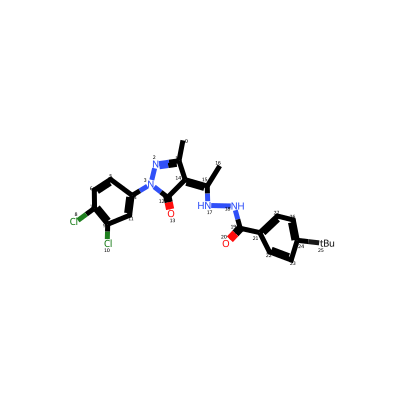 CC1=NN(c2ccc(Cl)c(Cl)c2)C(=O)/C1=C(/C)NNC(=O)c1ccc(C(C)(C)C)cc1